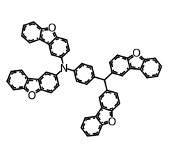 c1ccc2c(c1)oc1ccc(C(c3ccc(N(c4ccc5oc6ccccc6c5c4)c4ccc5oc6ccccc6c5c4)cc3)c3ccc4oc5ccccc5c4c3)cc12